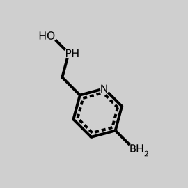 Bc1ccc(CPO)nc1